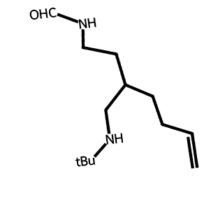 C=CCCC(CCNC=O)CNC(C)(C)C